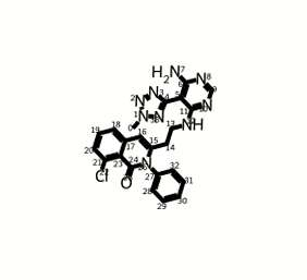 Cn1nnc(-c2c(N)ncnc2NCCc2cc3cccc(Cl)c3c(=O)n2-c2ccccc2)n1